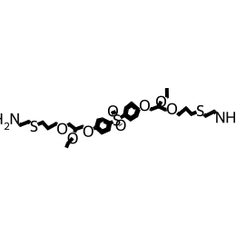 CCOC(COCCCSCCN)COc1ccc(S(=O)(=O)c2ccc(OCC(COCCCSCCN)OCC)cc2)cc1